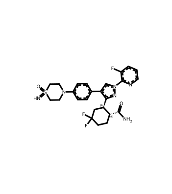 N=S1(=O)CCN(c2ccc(-c3cn(-c4ncccc4F)nc3[C@@H]3CC(F)(F)CC[C@H]3C(N)=O)cc2)CC1